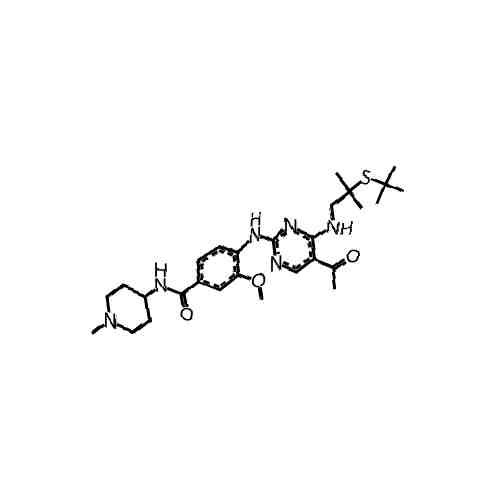 COc1cc(C(=O)NC2CCN(C)CC2)ccc1Nc1ncc(C(C)=O)c(NCC(C)(C)SC(C)(C)C)n1